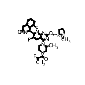 C=C(F)C(=O)N1CCN(c2nc(OC[C@@H]3CCCN3C)nc3nc(-c4[nH]c(=O)cc5cccc(F)c45)c(F)cc23)[C@@H](C)C1